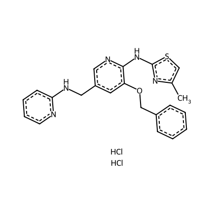 Cc1csc(Nc2ncc(CNc3ccccn3)cc2OCc2ccccc2)n1.Cl.Cl